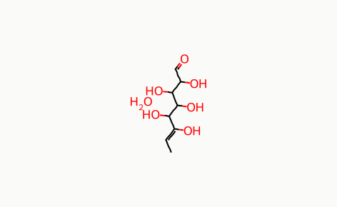 CC=C(O)C(O)C(O)C(O)C(O)C=O.O